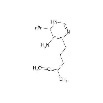 C=C=C(C)CCCC1=C(N)C(CCC)NC=N1